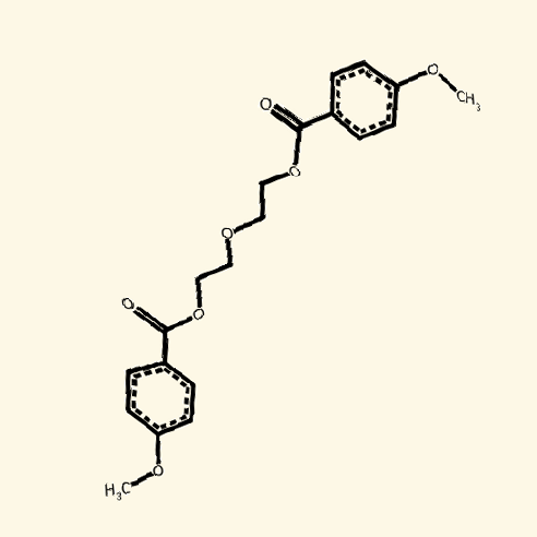 COc1ccc(C(=O)OCCOCCOC(=O)c2ccc(OC)cc2)cc1